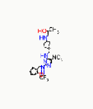 CC(O)CN[C@H]1CC[C@H](CNc2nc(NCc3ccccc3OC(F)(F)F)ncc2[N+](=O)[O-])CC1